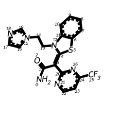 NC(=O)C(=C1Sc2ccccc2N1CCn1ccnc1)c1nccc(C(F)(F)F)n1